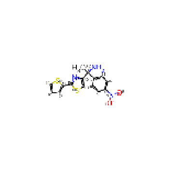 CC(N)(c1ccc([N+](=O)[O-])cc1)c1csc(-c2cccs2)n1